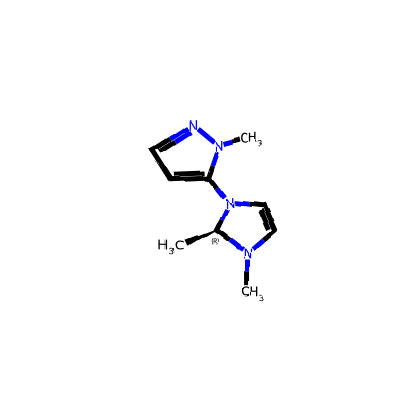 C[C@@H]1N(C)C=CN1c1ccnn1C